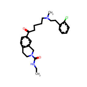 CCNC(=O)N1CCc2ccc(C(=O)CCCCN(C)CCc3ccccc3Cl)cc2C1